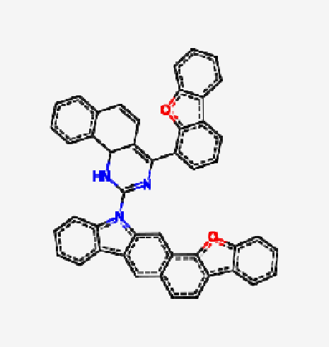 C1=Cc2ccccc2C2NC(n3c4ccccc4c4cc5ccc6c7ccccc7oc6c5cc43)=NC(c3cccc4c3oc3ccccc34)=C12